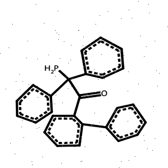 O=C(c1ccccc1-c1ccccc1)C(P)(c1ccccc1)c1ccccc1